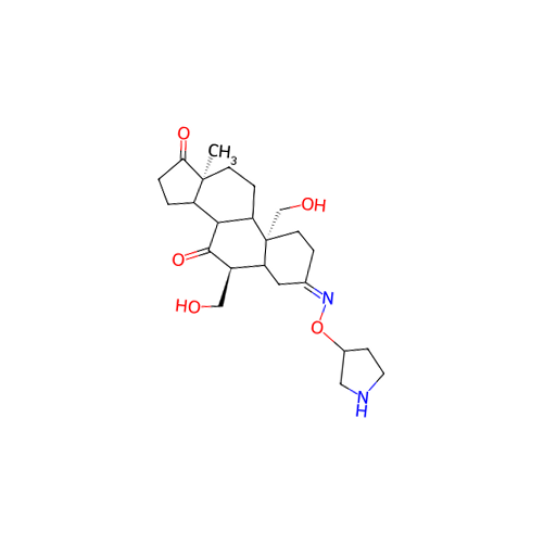 C[C@]12CCC3C(C(=O)[C@H](CO)C4CC(=NOC5CCNC5)CC[C@]34CO)C1CCC2=O